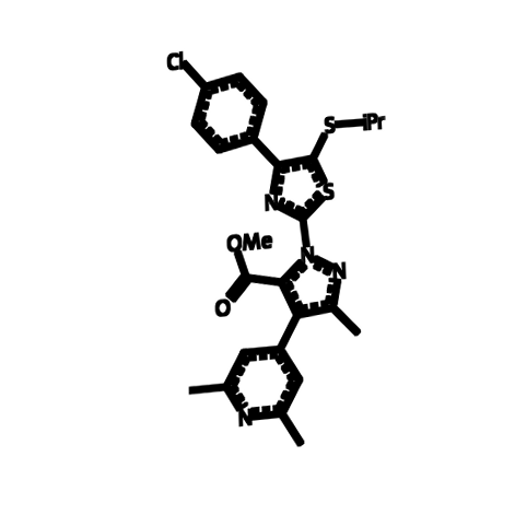 COC(=O)c1c(-c2cc(C)nc(C)c2)c(C)nn1-c1nc(-c2ccc(Cl)cc2)c(SC(C)C)s1